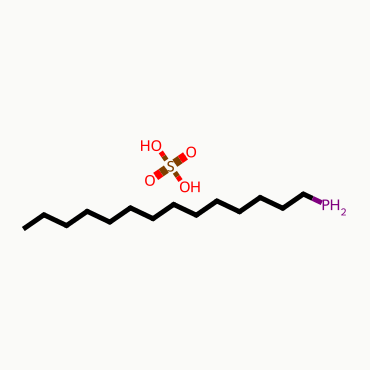 CCCCCCCCCCCCCCP.O=S(=O)(O)O